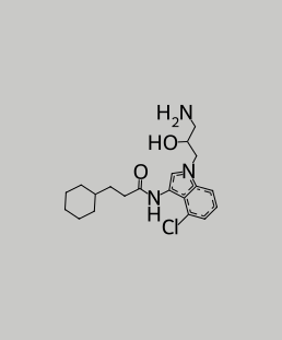 NCC(O)Cn1cc(NC(=O)CCC2CCCCC2)c2c(Cl)cccc21